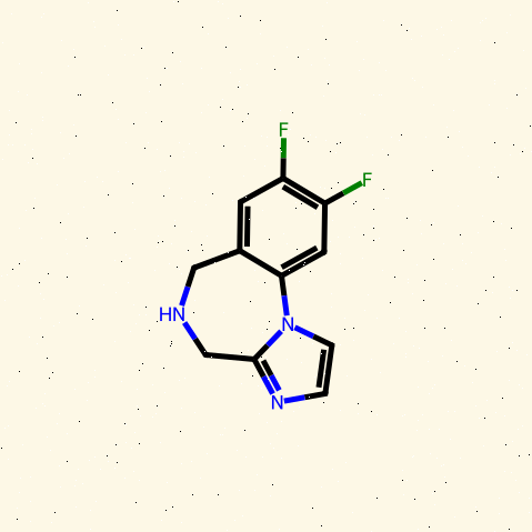 Fc1cc2c(cc1F)-n1ccnc1CNC2